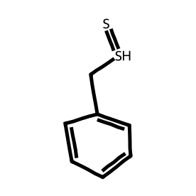 S=[SH]Cc1ccccc1